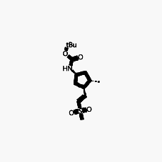 C[C@H]1C[C@H](NC(=O)OC(C)(C)C)C[C@@H]1/C=C/S(C)(=O)=O